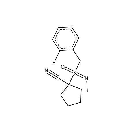 CN=S(=O)(Cc1ccccc1F)C1(C#N)CCCC1